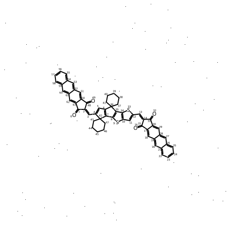 O=C1C(=CC2=CC3=C(c4sc5cc(C=C6C(=O)c7cc8cc9ccccc9cc8cc7C6=O)sc5c4C34CCCCC4)C23CCCCC3)C(=O)c2cc3cc4ccccc4cc3cc21